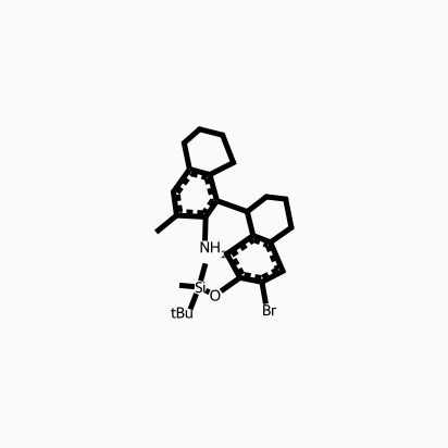 Cc1cc2c(c(C3CCCc4cc(Br)c(O[Si](C)(C)C(C)(C)C)cc43)c1N)CCCC2